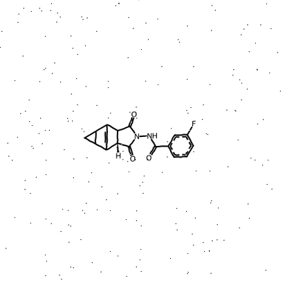 O=C(NN1C(=O)C2C3C=CC(C4CC34)[C@H]2C1=O)c1cccc(F)c1